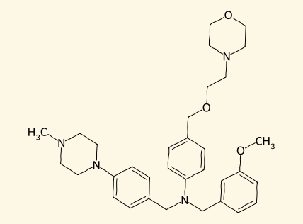 COc1cccc(CN(Cc2ccc(N3CCN(C)CC3)cc2)c2ccc(COCCN3CCOCC3)cc2)c1